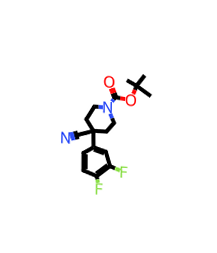 CC(C)(C)OC(=O)N1CCC(C#N)(c2ccc(F)c(F)c2)CC1